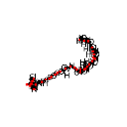 Cc1sc2c(c1C)C(c1ccc(Cl)cc1)=N[C@@H](CC(=O)NCCOCCOCCOCCOCCOCCOCCC(=O)NCCCN(C)CCCNC(=O)c1cc(NC(=O)c3nc(NC(=O)CCNC(=O)c4cc(NC(=O)c5nc(NC(=O)CCNC(=O)c6cc(NC(=O)c7nccn7C)cn6C)cn5C)cn4C)cn3C)cn1C)c1nnc(C)n1-2